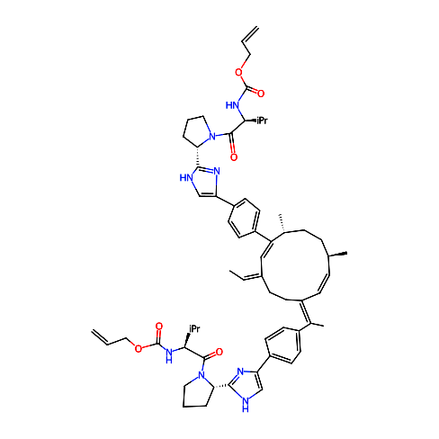 C=CCOC(=O)N[C@H](C(=O)N1CCC[C@H]1c1nc(-c2ccc(/C3=C/C(=C\C)CCC(=C(/C)c4ccc(-c5c[nH]c([C@@H]6CCCN6C(=O)[C@@H](NC(=O)OCC=C)C(C)C)n5)cc4)/C=C\[C@H](C)CC[C@H]3C)cc2)c[nH]1)C(C)C